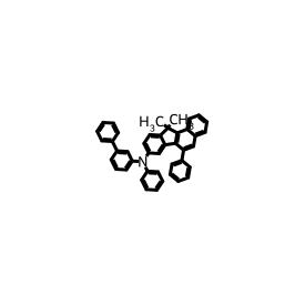 CC1(C)c2ccc(N(c3ccccc3)c3cccc(-c4ccccc4)c3)cc2-c2c(-c3ccccc3)cc3ccccc3c21